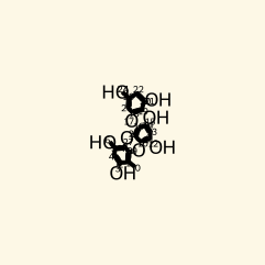 Cc1c(O)cc(O)c2c1Oc1c(O)cc(O)c(Oc3cc(O)cc(O)c3)c1O2